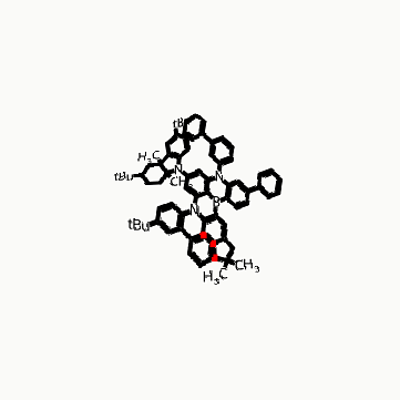 CC1(C)Cc2cc3c(cc2C1)N(c1ccc(C(C)(C)C)cc1-c1ccccc1)c1cc(N2c4ccc(C(C)(C)C)cc4C4(C)CC(C(C)(C)C)CCC24C)cc2c1B3c1ccc(-c3ccccc3)cc1N2c1cccc(-c2ccccc2)c1